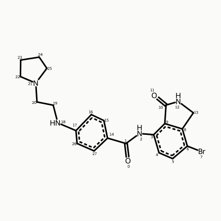 O=C(Nc1ccc(Br)c2c1C(=O)NC2)c1ccc(NCCN2CCCC2)cc1